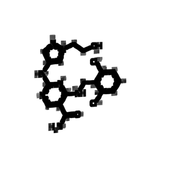 NC(=O)c1cnc(Nc2cnn(CCO)c2)nc1NCc1c(Cl)cccc1Cl